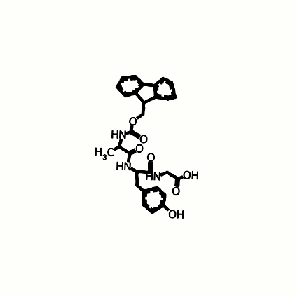 CC(NC(=O)OCC1c2ccccc2-c2ccccc21)C(=O)NC(Cc1ccc(O)cc1)C(=O)NCC(=O)O